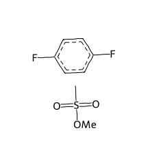 COS(C)(=O)=O.Fc1ccc(F)cc1